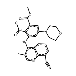 COC(=O)c1cc(N2CCOCC2)cc(Nc2c(C)cnc3c(C#N)cccc23)c1[N+](=O)[O-]